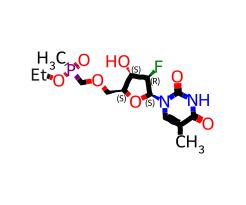 CCOP(C)(=O)COC[C@@H]1O[C@H](n2cc(C)c(=O)[nH]c2=O)[C@H](F)[C@H]1O